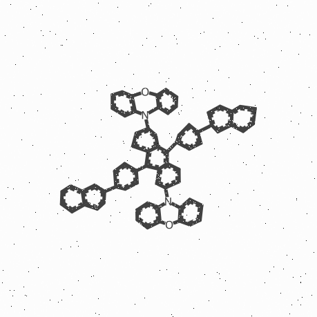 c1ccc2c(c1)Oc1ccccc1N2c1ccc2c(-c3ccc(-c4ccc5ccccc5c4)cc3)c3cc(N4c5ccccc5Oc5ccccc54)ccc3c(-c3ccc(-c4ccc5ccccc5c4)cc3)c2c1